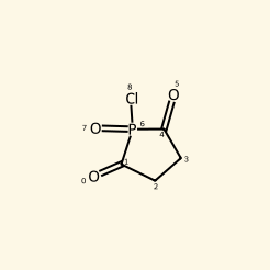 O=C1CCC(=O)P1(=O)Cl